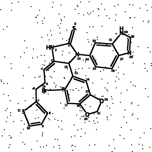 S=C1N/C(=C/CCc2cccs2)C(c2cc3c(cc2Br)OCO3)N1c1ccc2nc[nH]c2c1